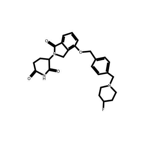 O=C1CCC(N2Cc3c(OCc4ccc(CN5CCC(F)CC5)cc4)cccc3C2=O)C(=O)N1